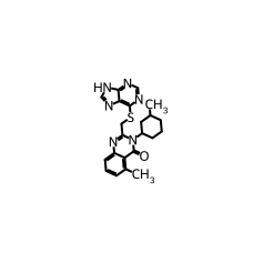 Cc1cccc2nc(CSc3ncnc4[nH]cnc34)n(C3CCCC(C)C3)c(=O)c12